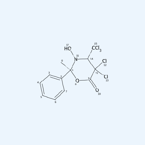 CC1(c2ccccc2)OC(=O)C(Cl)(Cl)C(C(Cl)(Cl)Cl)N1O